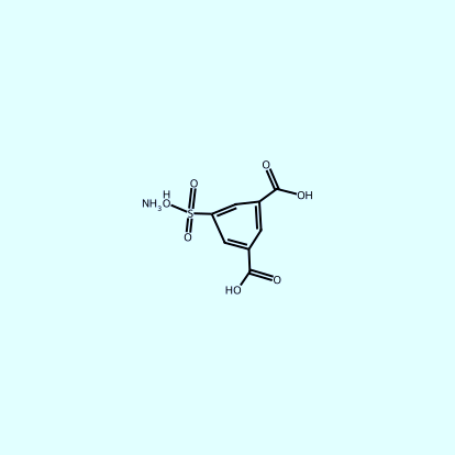 N.O=C(O)c1cc(C(=O)O)cc(S(=O)(=O)O)c1